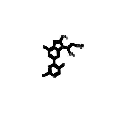 Cc1nc2c(F)cc(-c3nc(Cl)ncc3F)cc2n1C(C)CC(=O)O